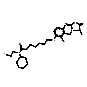 CC1C(=O)NC2=Nc3ccc(OCCCCCCC(=O)N(CCO)C4CCCCC4)c(Cl)c3CN21